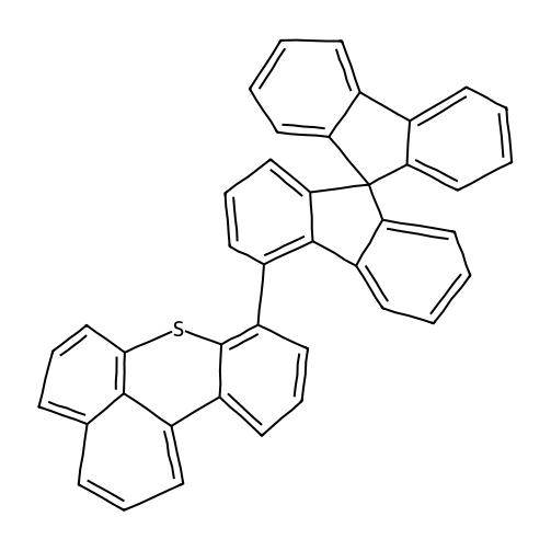 c1ccc2c(c1)-c1ccccc1C21c2ccccc2-c2c(-c3cccc4c3Sc3cccc5cccc-4c35)cccc21